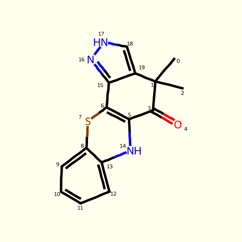 CC1(C)C(=O)C2=C(Sc3ccccc3N2)c2n[nH]cc21